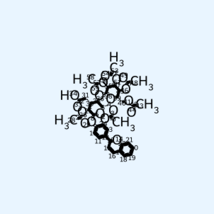 CC(=O)OC[C@@H]1O[C@@H](Oc2ccc(C(=O)/C=C\c3ccccc3)cc2)[C@H](OC(C)=O)[C@H](CC(=O)O)[C@H]1O[C@H]1O[C@@H](COC(C)=O)[C@H](OC(C)=O)[C@@H](OC(C)=O)[C@@H]1OC(C)=O